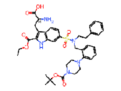 CCOC(=O)c1[nH]c2cc(S(=O)(=O)N(CCc3ccccc3)Cc3ccccc3N3CCN(C(=O)OC(C)(C)C)CC3)ccc2c1C[C@H](N)C(=O)O